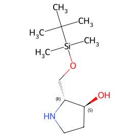 CC(C)(C)[Si](C)(C)OC[C@H]1NCC[C@@H]1O